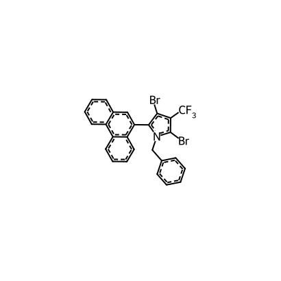 FC(F)(F)c1c(Br)c(-c2cc3ccccc3c3ccccc23)n(Cc2ccccc2)c1Br